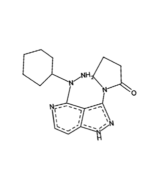 NN(c1nccc2[nH]nc(N3CCCC3=O)c12)C1CCCCC1